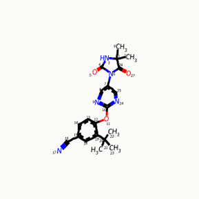 CC1(C)NC(=O)N(c2cnc(Oc3ccc(C#N)cc3C(C)(C)C)nc2)C1=O